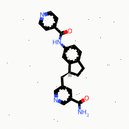 NC(=O)c1cncc(C[C@@H]2CCc3ccc(NC(=O)c4ccncc4)cc32)c1